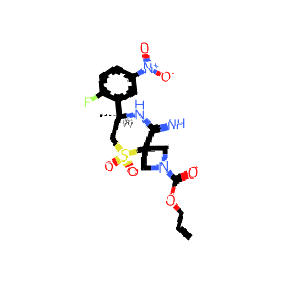 C=CCOC(=O)N1CC2(C1)C(=N)N[C@](C)(c1cc([N+](=O)[O-])ccc1F)CS2(=O)=O